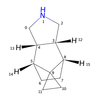 C1NC[C@H]2[C@@H]1[C@H]1CC[C@@H]2C12CC2